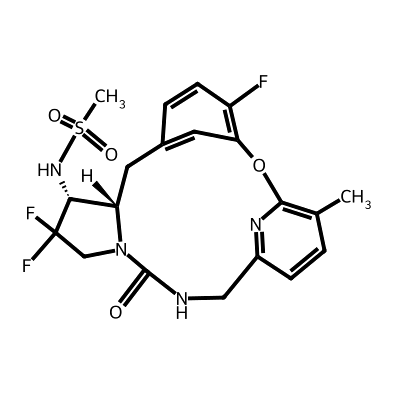 Cc1ccc2nc1Oc1cc(ccc1F)C[C@H]1[C@@H](NS(C)(=O)=O)C(F)(F)CN1C(=O)NC2